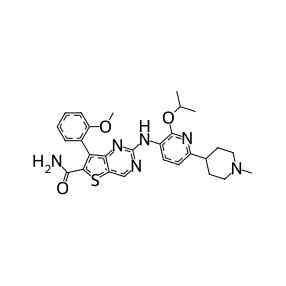 COc1ccccc1-c1c(C(N)=O)sc2cnc(Nc3ccc(C4CCN(C)CC4)nc3OC(C)C)nc12